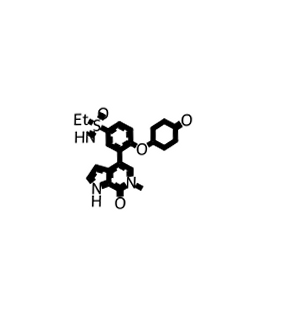 CCS(=N)(=O)c1ccc(OC2CCC(=O)CC2)c(-c2cn(C)c(=O)c3[nH]ccc23)c1